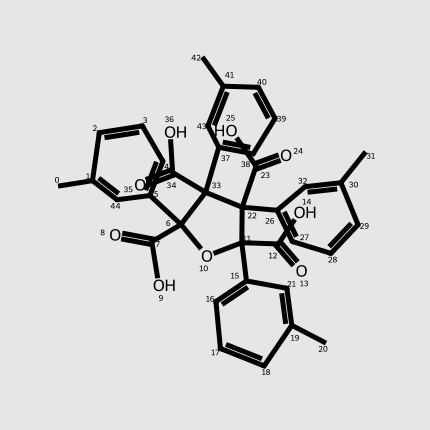 Cc1cccc(C2(C(=O)O)OC(C(=O)O)(c3cccc(C)c3)C(C(=O)O)(c3cccc(C)c3)C2(C(=O)O)c2cccc(C)c2)c1